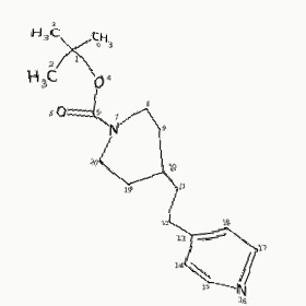 CC(C)(C)OC(=O)N1CCC(CCc2ccncc2)CC1